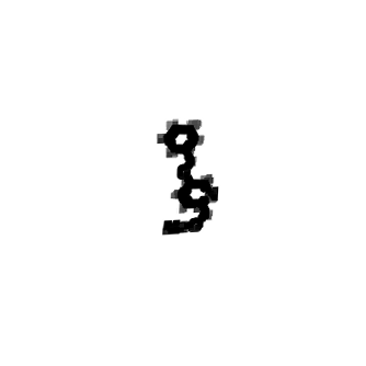 COCc1ccc(OCc2ccccc2)cn1